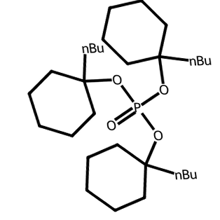 CCCCC1(OP(=O)(OC2(CCCC)CCCCC2)OC2(CCCC)CCCCC2)CCCCC1